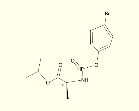 CC(C)OC(=O)[C@H](C)N[PH](=O)Oc1ccc(Br)cc1